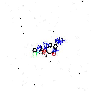 Cc1c(C(=O)N[C@H]2CCCCC(=O)Nc3ccc(-c4nn[nH]n4)cc3-c3ccnc2c3)cnn1-c1cccc(Cl)c1F